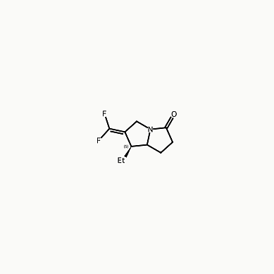 CC[C@H]1C(=C(F)F)CN2C(=O)CCC12